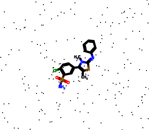 Cc1sc(=Nc2ccccc2)n(C)c1-c1ccc(Cl)c(S(N)(=O)=O)c1